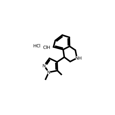 Cc1c(C2CNCc3ccccc32)cnn1C.Cl.Cl